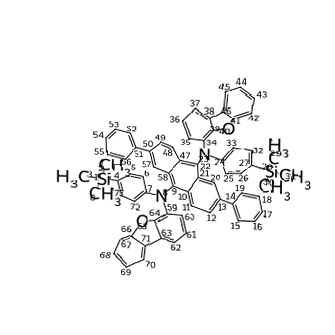 C[Si](C)(C)c1ccc(N(c2c3ccc(-c4ccccc4)cc3c(N(c3ccc([Si](C)(C)C)cc3)c3cccc4c3oc3ccccc34)c3ccc(-c4ccccc4)cc23)c2cccc3c2oc2ccccc23)cc1